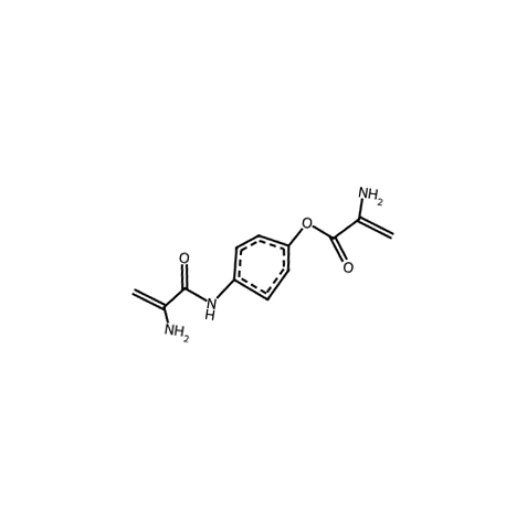 C=C(N)C(=O)Nc1ccc(OC(=O)C(=C)N)cc1